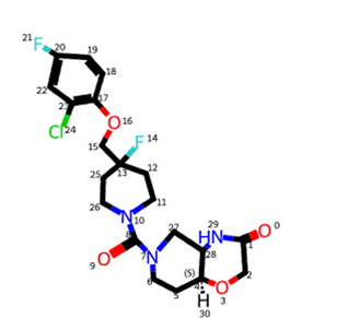 O=C1CO[C@H]2CCN(C(=O)N3CCC(F)(COc4ccc(F)cc4Cl)CC3)CC2N1